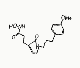 COc1ccc(CCCN2CC=C(CCC(=O)NO)C2=O)cc1